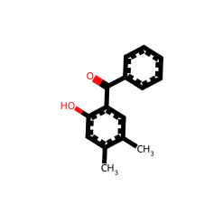 Cc1cc(O)c(C(=O)c2ccccc2)cc1C